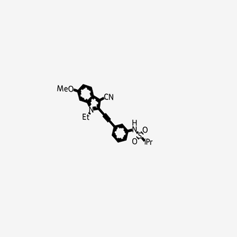 CCn1c(C#Cc2cccc(NS(=O)(=O)C(C)C)c2)c(C#N)c2ccc(OC)cc21